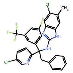 Cc1cc2[nH]c(NC(Cc3ccccc3)(c3cc(F)cc(C(F)(F)F)c3)c3ccc(Cl)cn3)nc2cc1Cl